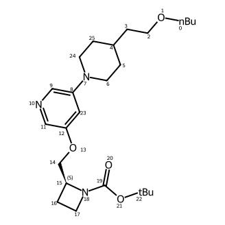 CCCCOCCC1CCN(c2cncc(OC[C@@H]3CCN3C(=O)OC(C)(C)C)c2)CC1